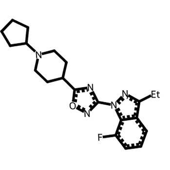 CCc1nn(-c2noc(C3CCN(C4CCCC4)CC3)n2)c2c(F)cccc12